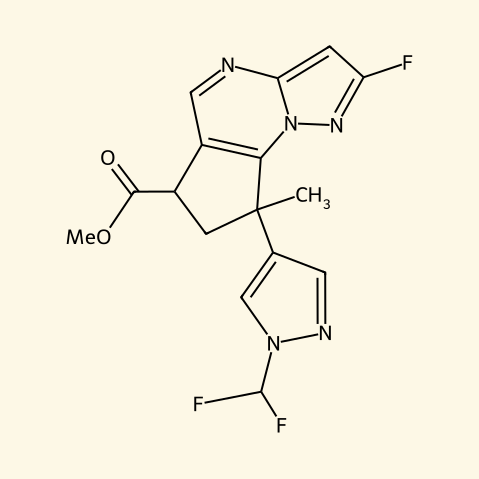 COC(=O)C1CC(C)(c2cnn(C(F)F)c2)c2c1cnc1cc(F)nn21